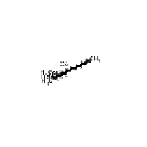 CCCCCCCCCCCCCCCCC(C)[N+](C)(O)O.[Cl-]